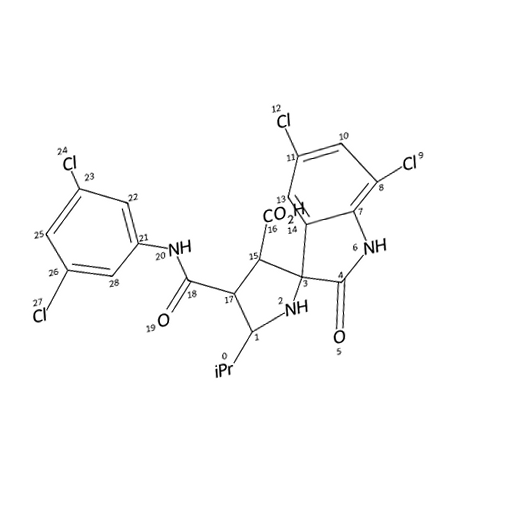 CC(C)C1NC2(C(=O)Nc3c(Cl)cc(Cl)cc32)C(C(=O)O)C1C(=O)Nc1cc(Cl)cc(Cl)c1